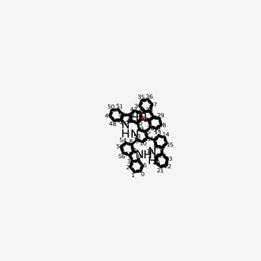 c1ccc2c(c1)[nH]c1c(-c3cc(-c4cccc5c4[nH]c4ccccc45)c(-c4cccc5c4[nH]c4ccccc45)c(-c4cccc5c4[nH]c4ccccc45)n3)cccc12